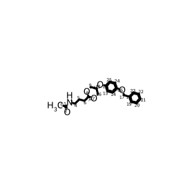 CC(=O)NCCCC1OCC(Oc2ccc(OCc3ccccc3)cc2)CO1